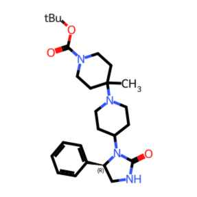 CC(C)(C)OC(=O)N1CCC(C)(N2CCC(N3C(=O)NC[C@H]3c3ccccc3)CC2)CC1